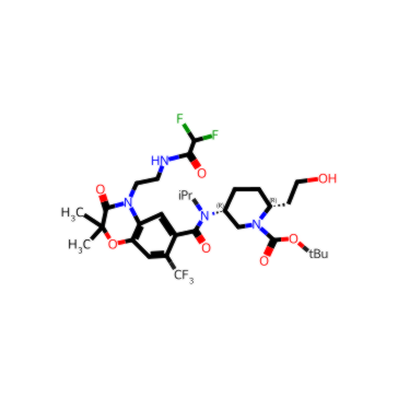 CC(C)N(C(=O)c1cc2c(cc1C(F)(F)F)OC(C)(C)C(=O)N2CCNC(=O)C(F)F)[C@@H]1CC[C@H](CCO)N(C(=O)OC(C)(C)C)C1